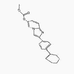 COC(=O)Oc1ccc2nc(-c3ccc(C4CCCCC4)cc3)cn2c1